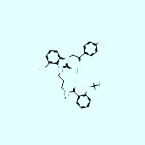 CN(CCCn1c(=N)n(CC(=O)c2ccc(Cl)cc2)c2cccc(Cl)c21)C(=O)c1ccccc1OC(F)(F)F